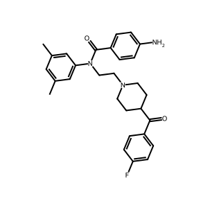 Cc1cc(C)cc(N(CCN2CCC(C(=O)c3ccc(F)cc3)CC2)C(=O)c2ccc(N)cc2)c1